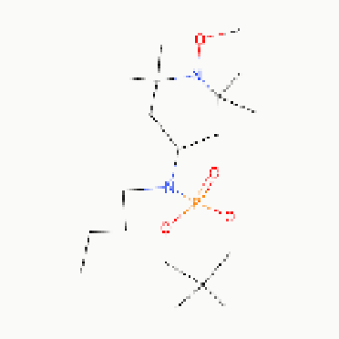 CCCCN(C1CC(C)(C)N(OC)C(C)(C)C1)P1(=O)OCC(C)(C)CO1